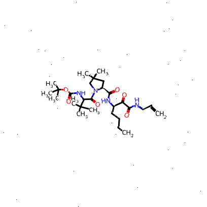 C=CCNC(=O)C(=O)C(CCCC)NC(=O)[C@@H]1CC(C)(C)CN1C(=O)C(NC(=O)OC(C)(C)C)C(C)(C)C